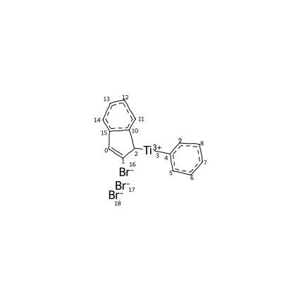 C1=C[CH]([Ti+3][c]2ccccc2)c2ccccc21.[Br-].[Br-].[Br-]